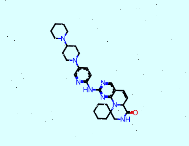 O=C1NCC2(CCCCC2)N2c3nc(Nc4ccc(N5CCC(N6CCCCC6)CC5)cn4)ncc3C=CC12